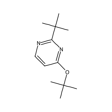 CC(C)(C)Oc1ccnc(C(C)(C)C)n1